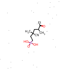 CCC(=O)C(C)CC(C)(C#N)CCP(=O)(O)O